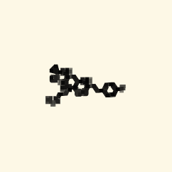 NCCNC(=O)C(CC(=O)NC1(C(F)(F)F)CC1)NC(=O)CCc1ccc(F)cc1